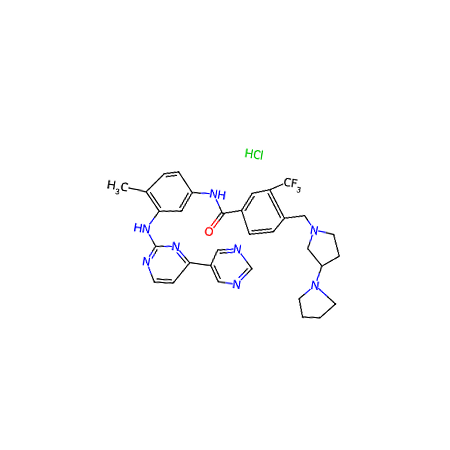 Cc1ccc(NC(=O)c2ccc(CN3CCC(N4CCCC4)C3)c(C(F)(F)F)c2)cc1Nc1nccc(-c2cncnc2)n1.Cl